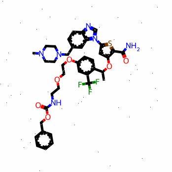 CC(Oc1cc(-n2cnc3ccc(CN4CCN(C)CC4)cc32)sc1C(N)=O)c1ccc(OCCOCCNC(=O)OCc2ccccc2)cc1C(F)(F)F